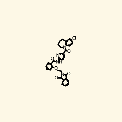 O=C(Nc1ccc(C(=O)N2CCCCc3cc(Cl)ccc32)cn1)c1ccccc1OCCN1C(=O)c2ccccc2C1=O